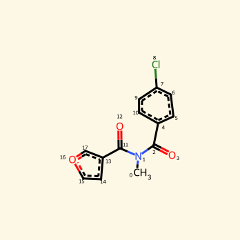 CN(C(=O)c1ccc(Cl)cc1)C(=O)c1ccoc1